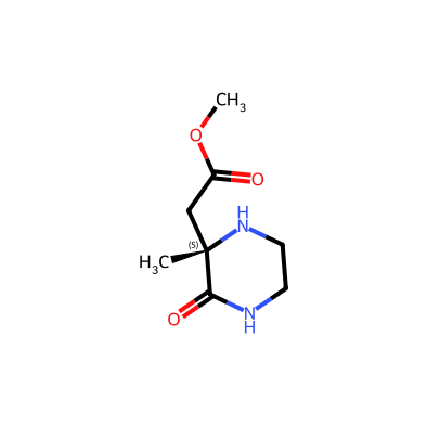 COC(=O)C[C@]1(C)NCCNC1=O